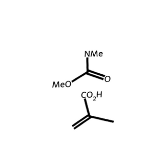 C=C(C)C(=O)O.CNC(=O)OC